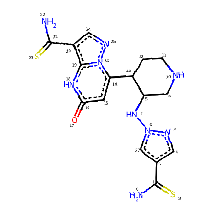 NC(=S)c1cnn(NC2CNCCC2c2cc(=O)[nH]c3c(C(N)=S)cnn23)c1